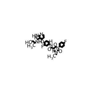 CCn1nc(C(=O)Nc2ccc(Oc3ccnc4[nH]nc(N[C@@H](C)CO)c34)c(F)c2)c(=O)n(-c2ccc(F)cc2)c1=O